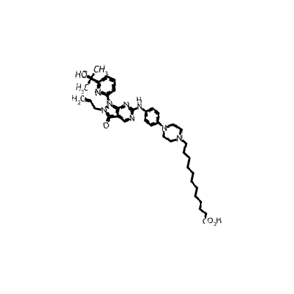 C=CCn1c(=O)c2cnc(Nc3ccc(N4CCN(CCCCCCCCCCCC(=O)O)CC4)cc3)nc2n1-c1cccc(C(C)(C)O)n1